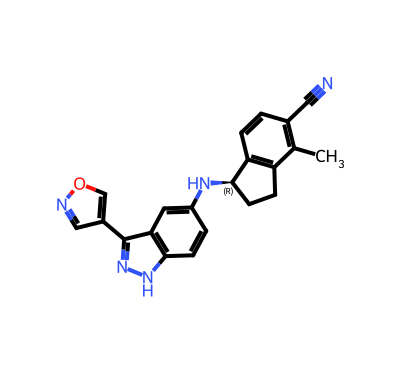 Cc1c(C#N)ccc2c1CC[C@H]2Nc1ccc2[nH]nc(-c3cnoc3)c2c1